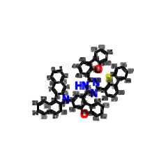 c1ccc2cc3c(cc2c1)c1c2ccccc2ccc1n3-c1cc(C2=NC(c3cccc4c3sc3ccccc34)=NC(c3cccc4c3oc3ccccc34)N2)c2c(c1)oc1ccccc12